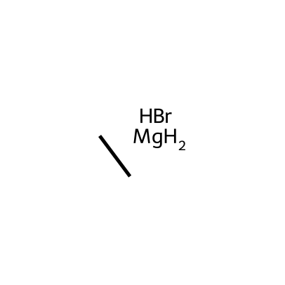 Br.CC.[MgH2]